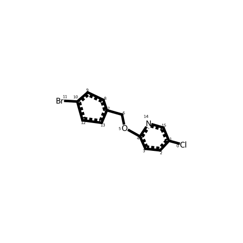 Clc1ccc(OCc2ccc(Br)cc2)nc1